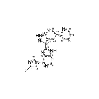 Cc1cn(-c2nccc3[nH]c(-c4n[nH]c5ncc(-c6ccccn6)cc45)nc23)cn1